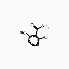 NC(=O)c1c(Cl)cccc1Cl.[Rh]